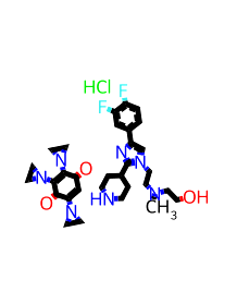 CN(CCO)CCn1cc(-c2ccc(F)c(F)c2)nc1C1CCNCC1.Cl.O=C1C=C(N2CC2)C(=O)C(N2CC2)=C1N1CC1